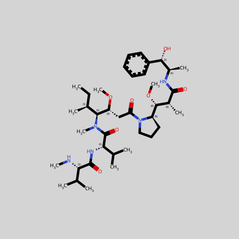 CC[C@H](C)[C@@H]([C@@H](CC(=O)N1CCC[C@@H]1[C@H](OC)[C@@H](C)C(=O)N[C@H](C)[C@@H](O)c1ccccc1)OC)N(C)C(=O)[C@@H](NC(=O)[C@@H](NC)C(C)C)C(C)C